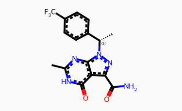 Cc1nc2c(c(C(N)=O)nn2[C@@H](C)c2ccc(C(F)(F)F)cc2)c(=O)[nH]1